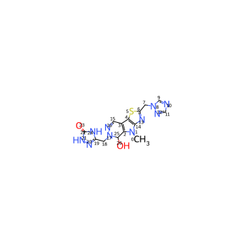 Cn1c2c(c3sc(Cn4cncn4)nc31)C=NN(Cc1n[nH]c(=O)[nH]1)C2O